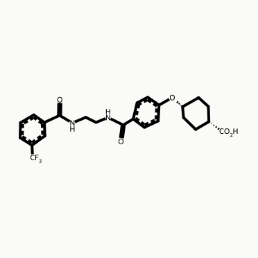 O=C(NCCNC(=O)c1cccc(C(F)(F)F)c1)c1ccc(O[C@H]2CC[C@@H](C(=O)O)CC2)cc1